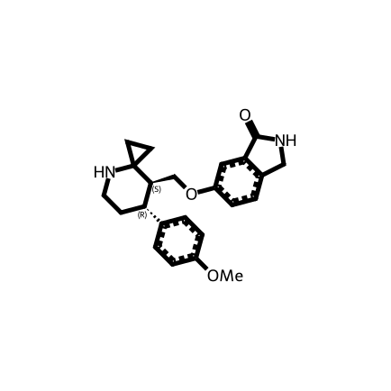 COc1ccc([C@@H]2CCNC3(CC3)[C@H]2COc2ccc3c(c2)C(=O)NC3)cc1